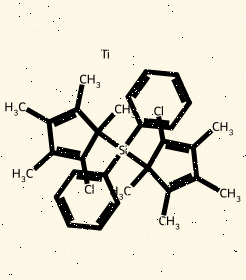 CC1=C(C)C(C)([Si](c2ccccc2)(c2ccccc2)C2(C)C(C)=C(C)C(C)=C2Cl)C(Cl)=C1C.[Ti]